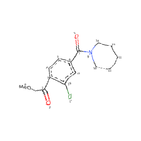 COC(=O)c1ccc(C(=O)N2CCCCC2)cc1Cl